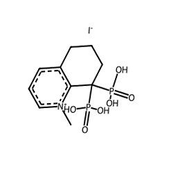 C[n+]1cccc2c1C(P(=O)(O)O)(P(=O)(O)O)CCC2.[I-]